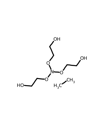 CC.OCCON(OCCO)OCCO